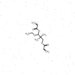 C=CC(=O)OCC(C)(C)C(OCC)OC(=O)C=C